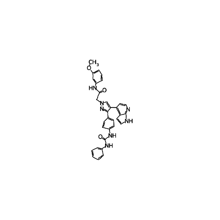 COc1cccc(NC(=O)Cn2cc(-c3ccnc4[nH]ccc34)c(-c3ccc(NC(=O)Nc4ccccc4)cc3)n2)c1